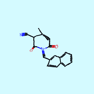 CC1=CC(=O)[N+](=Cc2ccc3ccccc3c2)C(=O)C1C#N